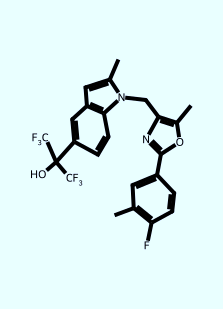 Cc1cc(-c2nc(Cn3c(C)cc4cc(C(O)(C(F)(F)F)C(F)(F)F)ccc43)c(C)o2)ccc1F